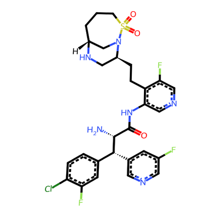 N[C@H](C(=O)Nc1cncc(F)c1CC[C@H]1CN[C@@H]2CCCS(=O)(=O)N1C2)[C@H](c1cncc(F)c1)c1ccc(Cl)c(F)c1